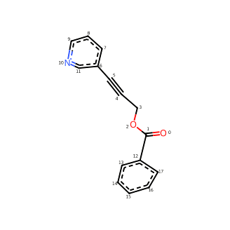 O=C(OCC#Cc1cccnc1)c1ccccc1